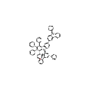 c1ccc(-c2cc(-c3ccccc3)nc(-n3c4ccc(-c5ccc6c(c5)c5ccccc5n6-c5ccccc5)cc4c4c(-c5ccccc5)c(-c5ccccc5)c(-c5ccccc5)c(-c5ccccc5)c43)c2)cc1